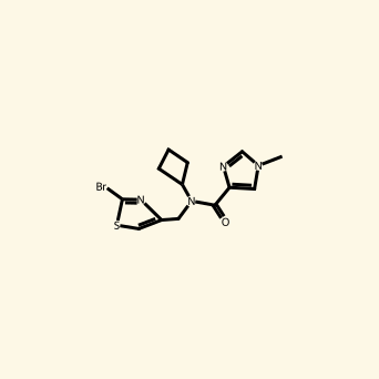 Cn1cnc(C(=O)N(Cc2csc(Br)n2)C2CCC2)c1